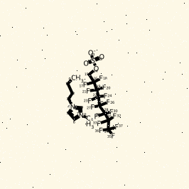 CCCCn1cc[n+](C)c1.O=S(=O)([O-])OCC(F)(F)C(F)(F)C(F)(F)C(F)(F)C(F)(F)C(F)(F)C(F)(F)F